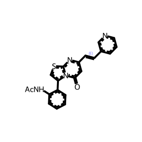 CC(=O)Nc1ccccc1-c1csc2nc(/C=C/c3cccnc3)cc(=O)n12